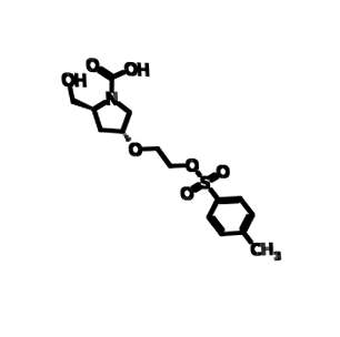 Cc1ccc(S(=O)(=O)OCCO[C@@H]2C[C@@H](CO)N(C(=O)O)C2)cc1